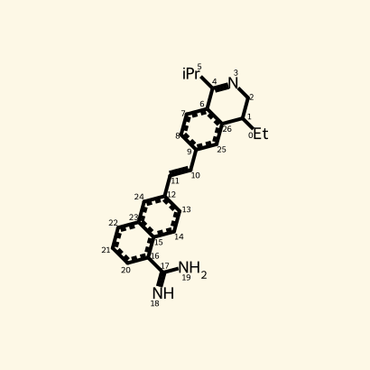 CCC1CN=C(C(C)C)c2ccc(C=Cc3ccc4c(C(=N)N)cccc4c3)cc21